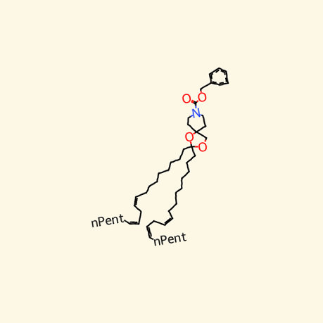 CCCCC/C=C\C/C=C\CCCCCCCCC1(CCCCCCCC/C=C\C/C=C\CCCCC)OCC2(CCN(C(=O)OCc3ccccc3)CC2)O1